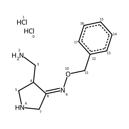 Cl.Cl.NCC1CNCC1=NOCc1ccccc1